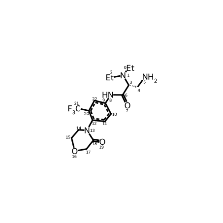 CCN(CC)[C@H](CN)C(=O)Nc1ccc(N2CCOCC2=O)c(C(F)(F)F)c1